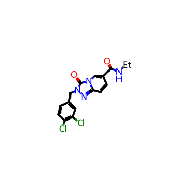 CCNC(=O)c1ccc2nn(Cc3ccc(Cl)c(Cl)c3)c(=O)n2c1